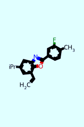 C=Cc1cc(C(C)C)cc2nc(-c3ccc(C)c(F)c3)oc12